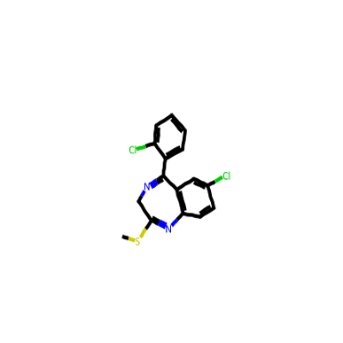 CSC1=Nc2ccc(Cl)cc2C(c2ccccc2Cl)=NC1